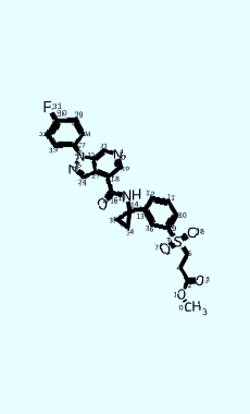 COC(=O)CCS(=O)(=O)c1cccc(C2(NC(=O)c3cncc4c3cnn4-c3ccc(F)cc3)CC2)c1